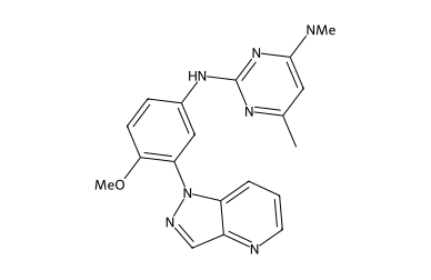 CNc1cc(C)nc(Nc2ccc(OC)c(-n3ncc4ncccc43)c2)n1